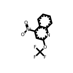 O=[N+]([O-])c1cc(OC(F)(F)F)nc2ccccc12